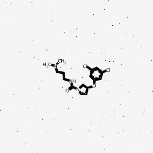 CN(C)CCCNC(=O)N1CCC(Oc2cc(Cl)cc(Cl)c2)C1